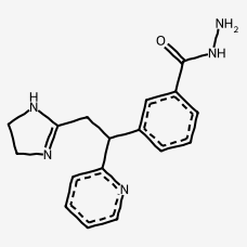 NNC(=O)c1cccc(C(CC2=NCCN2)c2ccccn2)c1